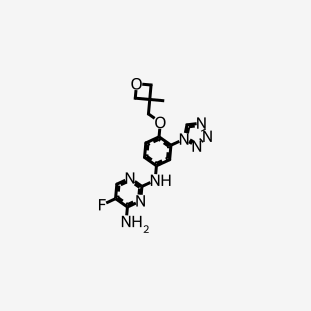 CC1(COc2ccc(Nc3ncc(F)c(N)n3)cc2-n2cnnn2)COC1